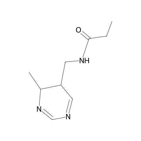 CCC(=O)NCC1C=NC=NC1C